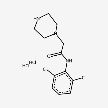 Cl.Cl.O=C(CN1CCNCC1)Nc1c(Cl)cccc1Cl